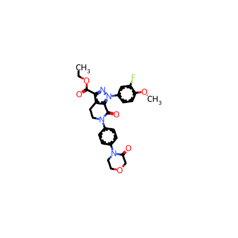 CCOC(=O)c1nn(-c2ccc(OC)c(F)c2)c2c1CCN(c1ccc(N3CCOCC3=O)cc1)C2=O